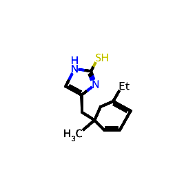 CCC1=CC=CC(C)(Cc2c[nH]c(S)n2)C1